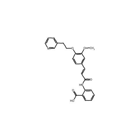 COc1cc(/C=C/C(=O)Nc2ccccc2C(=O)O)ccc1OCCc1cccnc1